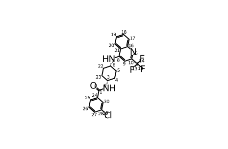 O=C(N[C@H]1CC[C@@H](Nc2cc(C(F)(F)F)nc3ccccc23)CC1)c1cccc(Cl)c1